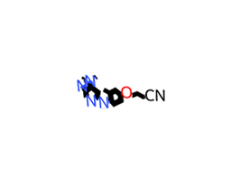 Cc1cc(OCCCC#N)ccc1N(C)c1cc2c(cn1)ncn2C